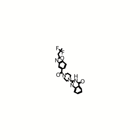 CC(F)(F)Cc1nc2cc(C(=O)N3CCN(c4nc5ccccc5c(=O)[nH]4)CC3)ccc2o1